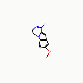 COc1ccc2c(c1)cc1n2CCN=C1N